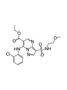 CCOC(=O)c1cnc2c(S(=O)(=O)NCCOC)cnn2c1Nc1ccccc1Cl